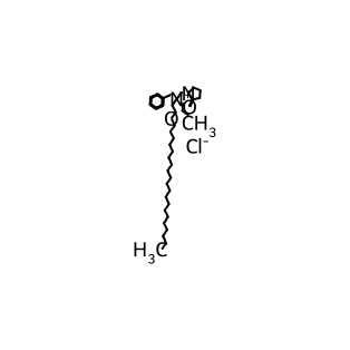 CCCCCCCCCCCCCCCCCCCCOCC[N+](CCCC)(Cc1ccccc1)CN1CCCC1=O.[Cl-]